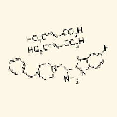 NC(CN1CCN(Cc2ccccc2)CC1)c1nc2ccc(F)cc2s1.O=C(O)/C=C/C(=O)O.O=C(O)/C=C/C(=O)O